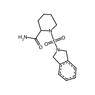 NC(=O)C1CCCCN1S(=O)(=O)N1Cc2ccccc2C1